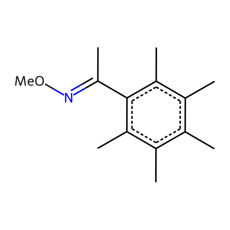 CON=C(C)c1c(C)c(C)c(C)c(C)c1C